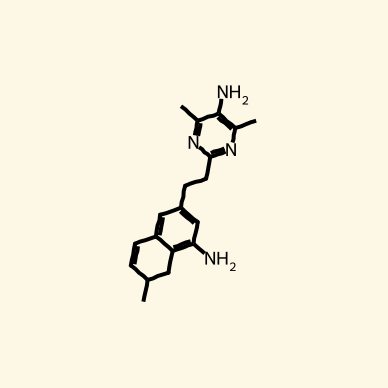 Cc1nc(CCc2cc(N)c3c(c2)C=CC(C)C3)nc(C)c1N